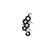 C[C@]12CCC(O)CC1=CC[C@@H]1[C@H]2CC[C@]2(C)C(N3CCCC3)CC[C@@H]12